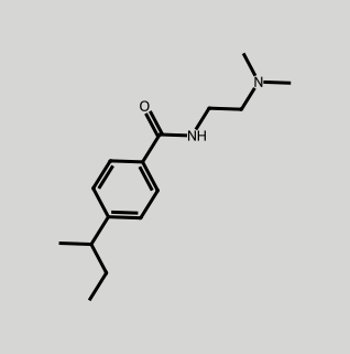 CCC(C)c1ccc(C(=O)NCCN(C)C)cc1